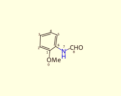 COc1ccccc1NC=O